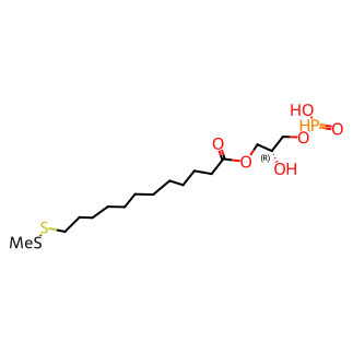 CSSCCCCCCCCCCCC(=O)OC[C@@H](O)CO[PH](=O)O